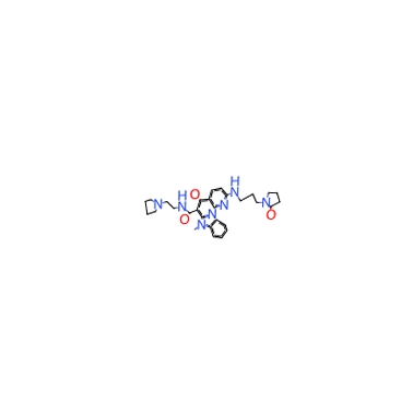 Cn1c2ccccc2n2c3nc(NCCCN4CCCC4=O)ccc3c(=O)c(C(=O)NCCN3CCCC3)c12